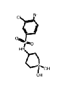 O=S(=O)(NC1CCS(O)(O)CC1)c1ccc(Br)c(Cl)c1